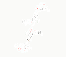 COc1cc2sc(C(=O)C[C@H](C)C(=O)O)cc2c(F)c1CCCOc1c(OC)cc2sc(CCC(C)(C)C(=O)O)cc2c1F